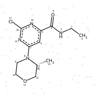 CCNC(=O)c1cc(N2CCOC[C@H]2C)nc(Cl)n1